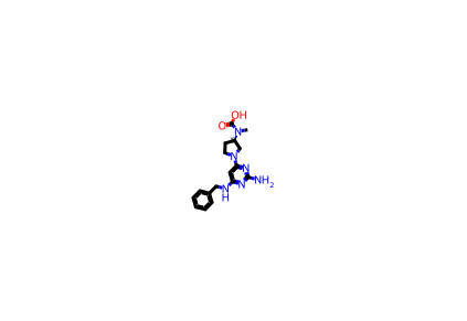 CN(C(=O)O)[C@@H]1CCN(c2cc(NCc3ccccc3)nc(N)n2)C1